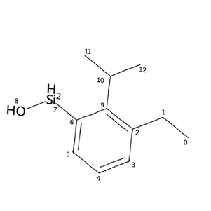 CCc1cccc([SiH2]O)c1C(C)C